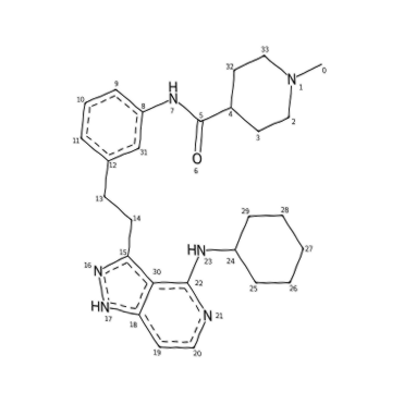 CN1CCC(C(=O)Nc2cccc(CCc3n[nH]c4ccnc(NC5CCCCC5)c34)c2)CC1